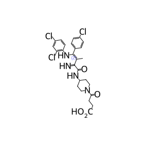 C/C(C(=N)C(=O)NC1CCN(C(=O)CCC(=O)O)CC1)=C(/Nc1ccc(Cl)cc1Cl)c1ccc(Cl)cc1